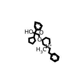 C[N+]1(CCc2ccccc2)CCC[C@@H](OC(=O)C(O)(c2ccccc2)C2CCCC2)C1